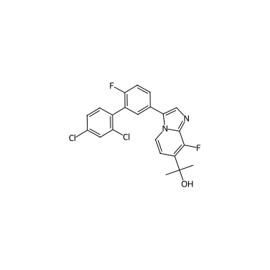 CC(C)(O)c1ccn2c(-c3ccc(F)c(-c4ccc(Cl)cc4Cl)c3)cnc2c1F